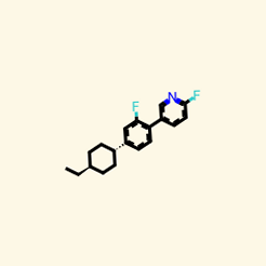 CC[C@H]1CC[C@H](c2ccc(-c3ccc(F)nc3)c(F)c2)CC1